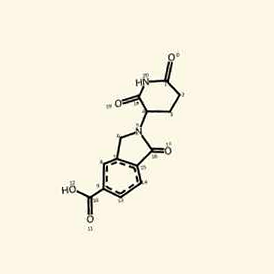 O=C1CCC(N2Cc3cc(C(=O)O)ccc3C2=O)C(=O)N1